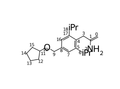 C=C(N)Cc1c(C(C)C)cc(COC2CCCC2)cc1C(C)C